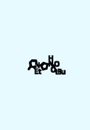 CCC1C(C)=CC=CN1C1=CC(NC(=O)OC(C)(C)C)CC1